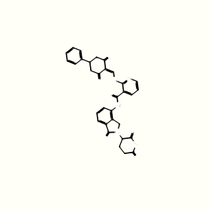 O=C1CCC(N2Cc3c(NC(=O)c4cccnc4NC=C4C(=O)CC(c5ccccc5)CC4=O)cccc3C2=O)C(=O)N1